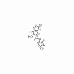 C[C@H](Nc1ccc(C#N)n(C)c1=O)C1=Cc2cc(Cl)cnc2NC1O